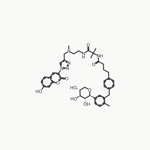 Cc1ccc([C@@H]2OC[C@@H](O)[C@H](O)[C@H]2O)cc1Cc1ccc(CCCC(=O)NC(C)(C)C(=O)NCCN(C)Cc2cn(-c3cc4ccc(O)cc4oc3=O)nn2)cc1